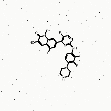 CC(C)n1c(=O)c(C#N)cc2c(F)cc(-c3nc(Nc4ccc(N5CCNCC5)c(F)c4F)ncc3F)cc21